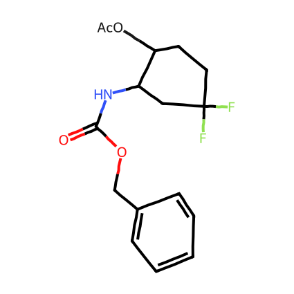 CC(=O)OC1CCC(F)(F)CC1NC(=O)OCc1ccccc1